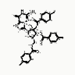 Cc1ccc(C(=O)OC[C@H]2O[C@@H](c3nnc4c(=S)[nH]c(N)nn34)[C@](C)(OC(=O)c3ccc(C)cc3)[C@@H]2OC(=O)c2ccc(C)cc2)cc1